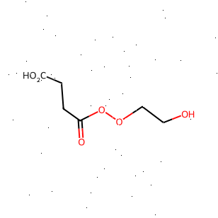 O=C(O)CCC(=O)OOCCO